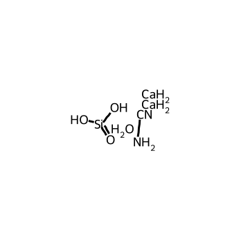 N#CN.O.O=[Si](O)O.[CaH2].[CaH2]